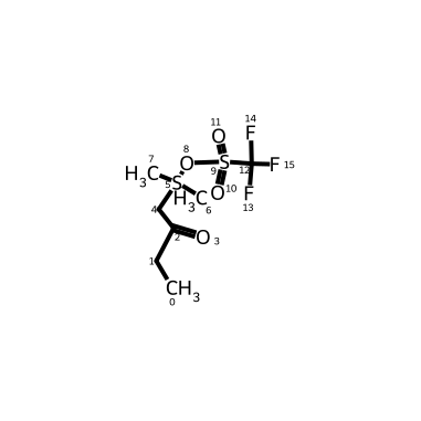 CCC(=O)CS(C)(C)OS(=O)(=O)C(F)(F)F